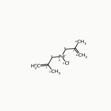 C=C(C)[CH2][Pd-]([Cl])[CH2]C(=C)C